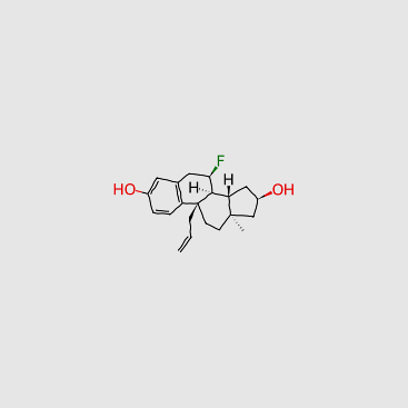 C=CC[C@]12CC[C@]3(C)C[C@H](O)C[C@H]3[C@@H]1[C@H](F)Cc1cc(O)ccc12